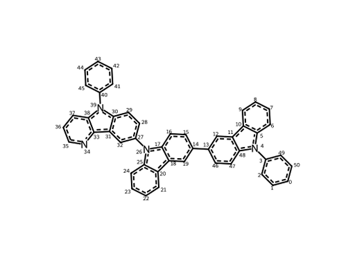 c1ccc(-n2c3ccccc3c3cc(-c4ccc5c(c4)c4ccccc4n5-c4ccc5c(c4)c4ncccc4n5-c4ccccc4)ccc32)cc1